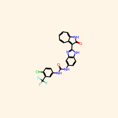 O=C(Nc1ccc(Cl)c(C(F)(F)F)c1)Nc1ccc2[nH]c(-c3c4cccccc-4[nH]c3=O)nc2c1